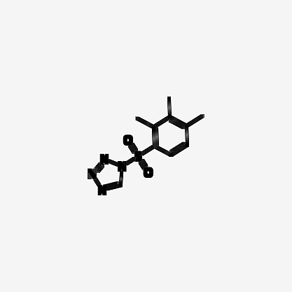 Cc1ccc(S(=O)(=O)n2cnnn2)c(C)c1C